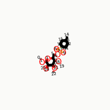 COC1OC(COS(=O)(=O)c2ccc(C)cc2)C(OC)C(OC)C1OC